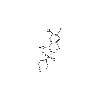 O=S(=O)(c1cnc2cc(F)c(Cl)cc2c1O)N1CCSCC1